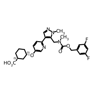 CN(Cc1c(-c2ccc(O[C@H]3CCC[C@H](C(=O)O)C3)cn2)cnn1C)C(=O)OCc1cc(F)cc(F)c1